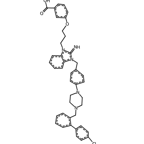 N=c1n(CCCOc2cccc(C(=O)O)c2)c2ccccc2n1Cc1ccc(N2CCN(Cc3ccccc3-c3ccc(Cl)cc3)CC2)cc1